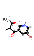 CC(C(=O)C(=O)O)C(=O)c1cncc(Br)c1